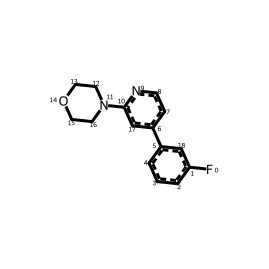 Fc1cccc(-c2ccnc(N3CCOCC3)c2)c1